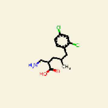 CC(Cc1ccc(Cl)cc1Cl)CC(CN)C(=O)O